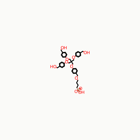 O=S(=O)(O)CCCCOCc1ccc(OCC(COc2ccc(CO)cc2)(COc2ccc(CO)cc2)COc2ccc(CO)cc2)cc1